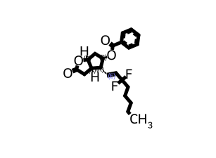 CCCCCC(F)(F)/C=C/[C@@H]1[C@H]2CC(=O)O[C@H]2C[C@H]1OC(=O)c1ccccc1